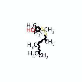 CC(C)=CCCC(C)=CCCC(C)=CCSC(C)(C)Sc1ccc(O)c(C)c1